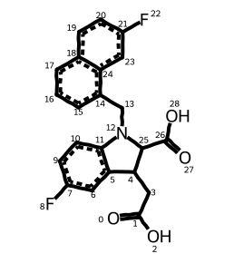 O=C(O)CC1c2cc(F)ccc2N(Cc2cccc3ccc(F)cc23)C1C(=O)O